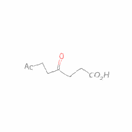 CC(=O)CCC(=O)CCC(=O)O